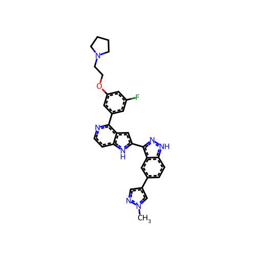 Cn1cc(-c2ccc3[nH]nc(-c4cc5c(-c6cc(F)cc(OCCN7CCCC7)c6)nccc5[nH]4)c3c2)cn1